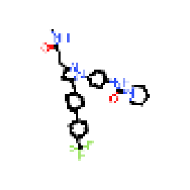 CNC(=O)CCc1cc(-c2ccc(-c3ccc(C(F)(F)F)cc3)cc2)n(-c2ccc(NC(=O)N3CCCCC3)cc2)n1